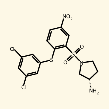 N[C@H]1CCN(S(=O)(=O)c2cc([N+](=O)[O-])ccc2Sc2cc(Cl)cc(Cl)c2)C1